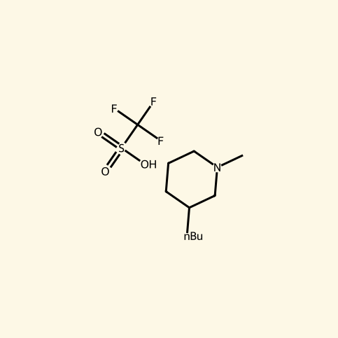 CCCCC1CCCN(C)C1.O=S(=O)(O)C(F)(F)F